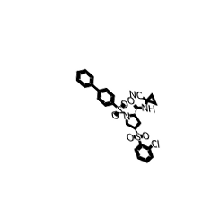 N#CC1(NC(=O)[C@@H]2C[C@@H](S(=O)(=O)c3ccccc3Cl)CN2S(=O)(=O)c2ccc(-c3ccccc3)cc2)CC1